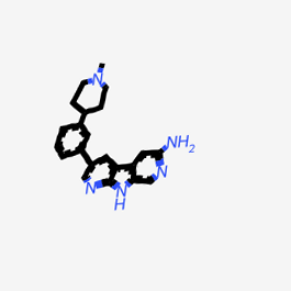 CN1CCC(c2cccc(-c3cnc4[nH]c5cnc(N)cc5c4c3)c2)CC1